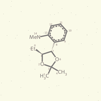 C[CH][C@@H]1OC(C)(C)O[C@H]1c1ccccc1NC